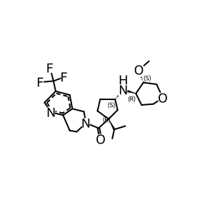 CO[C@@H]1COCC[C@H]1N[C@H]1CC[C@](C(=O)N2CCc3ncc(C(F)(F)F)cc3C2)(C(C)C)C1